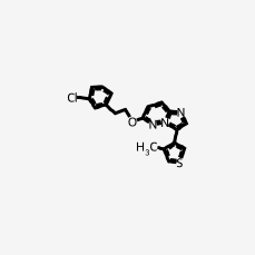 Cc1cscc1-c1cnc2ccc(OCCc3cccc(Cl)c3)nn12